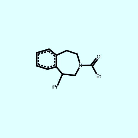 CCC(=O)N1CCc2ccccc2C(C(C)C)C1